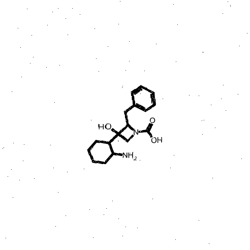 NC1CCCCC1C1(O)CN(C(=O)O)C1Cc1ccccc1